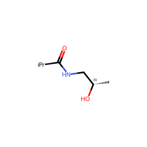 CC(C)C(=O)NC[C@H](C)O